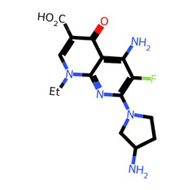 CCn1cc(C(=O)O)c(=O)c2c(N)c(F)c(N3CCC(N)C3)nc21